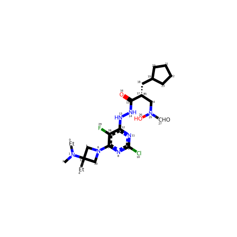 CCN(C)C1(CC)CN(c2nc(Cl)nc(NNC(=O)[C@H](CC3CCCC3)CN(O)C=O)c2F)C1